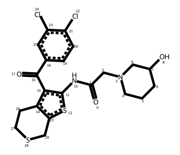 O=C(CN1CCCC(O)C1)Nc1sc2c(c1C(=O)c1ccc(Cl)c(Cl)c1)CCSC2